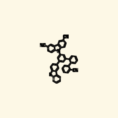 N#Cc1ccc2c(c1)c1cc(C#N)ccc1n2-c1cc(-c2ccc3sc4ccccc4c3c2)cc(-c2ccccc2-c2ccccc2C#N)c1